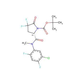 CN(C(=O)[C@@H]1CC(F)(F)C(=O)N1C(=O)OC(C)(C)C)c1cc(Cl)c(F)cc1F